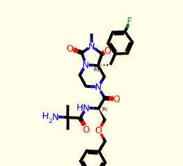 CN1C(=O)N2CCN(C(=O)[C@@H](COCc3ccccc3)NC(=O)C(C)(C)N)C[C@]2(Cc2ccc(F)cc2)C1=O